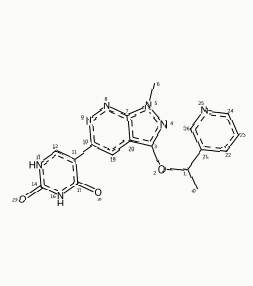 CC(Oc1nn(C)c2nnc(-c3c[nH]c(=O)[nH]c3=O)cc12)c1cccnc1